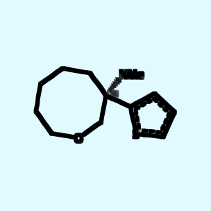 CN[C@@]1(c2cccs2)CCCCCOC1